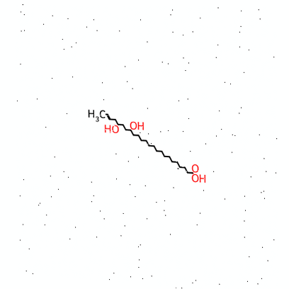 CC=CCC(O)CCC(O)CCCCCCCCCCCCCCCC(=O)O